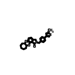 Cn1cc(-c2ccc(CN3Cc4cccc(OC5CCCCCC5O)c4C3=O)cc2)cn1